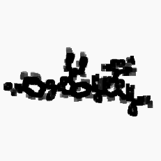 C#CCN(CC#C)C(=O)c1cc(NC(=O)[C@H](CCCNC(N)=O)NC(=O)[C@@H](NC(=O)O)C(C)C)ccc1COC(=O)Oc1ccc([N+](=O)[O-])cc1